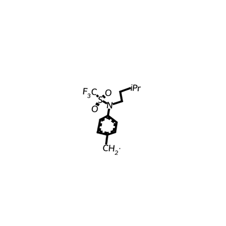 [CH2]c1ccc(N(CCC(C)C)S(=O)(=O)C(F)(F)F)cc1